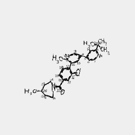 Cc1ncc(-c2ccnc(C(C)(C)C)c2)cc1-c1ccc(C(=O)N2CCC(C)CC2)cc1Cl